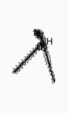 CCCCCC=CCC=CCCCCCCCCOCC(COCCCCCCCCC=CCC=CCCCCC)NCCN1CCN(C)CC1